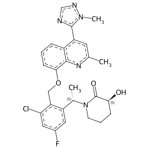 Cc1cc(-c2ncnn2C)c2cccc(OCc3c(Cl)cc(F)cc3[C@H](C)N3CCC[C@H](O)C3=O)c2n1